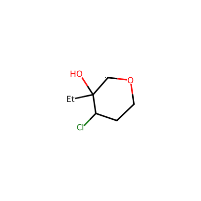 CCC1(O)[CH]OCCC1Cl